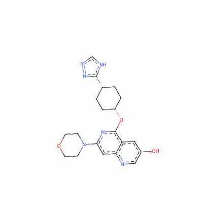 Oc1cnc2cc(N3CCOCC3)nc(O[C@H]3CC[C@@H](c4nnc[nH]4)CC3)c2c1